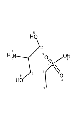 CCS(=O)(=O)O.NC(CO)CO